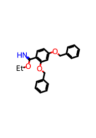 CCOC(=N)c1ccc(OCc2ccccc2)cc1OCc1ccccc1